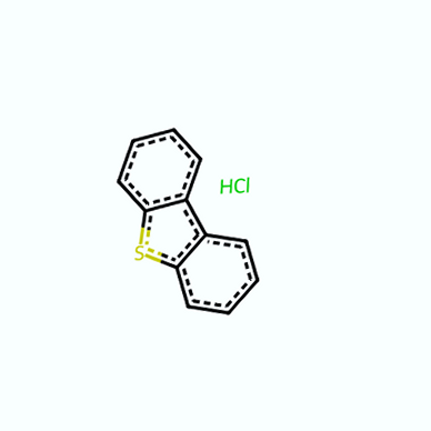 Cl.c1ccc2c(c1)sc1ccccc12